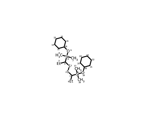 CCC(SSC(CC)[Si](C)(C)OC1CCCCC1)[Si](C)(C)OC1CCCCC1